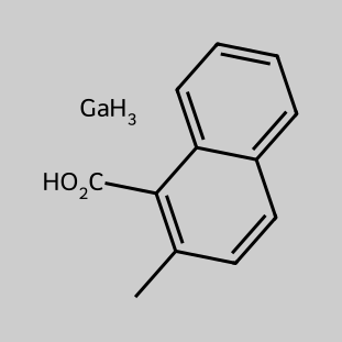 Cc1ccc2ccccc2c1C(=O)O.[GaH3]